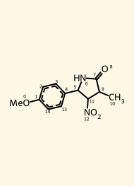 COc1ccc(C2NC(=O)C(C)C2[N+](=O)[O-])cc1